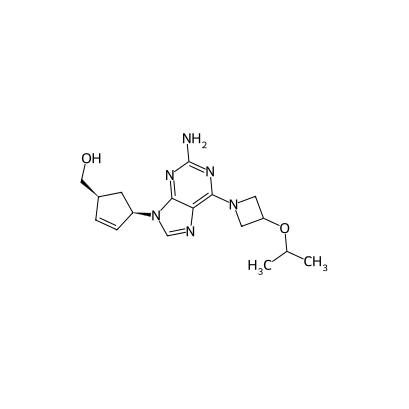 CC(C)OC1CN(c2nc(N)nc3c2ncn3[C@H]2C=C[C@@H](CO)C2)C1